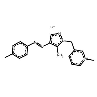 Cc1ccc(/N=N/c2cnn(Cc3ccc[n+](C)c3)c2N)cc1.[Br-]